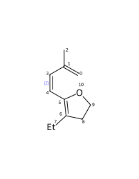 C=C(C)/C=C\C1=C(CC)CCO1